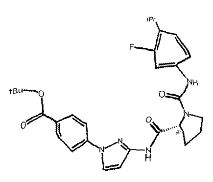 CC(C)c1ccc(NC(=O)N2CCC[C@@H]2C(=O)Nc2ccn(-c3ccc(C(=O)OC(C)(C)C)cc3)n2)cc1F